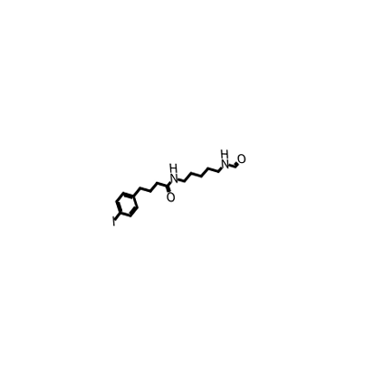 O=CNCCCCCNC(=O)CCCc1ccc(I)cc1